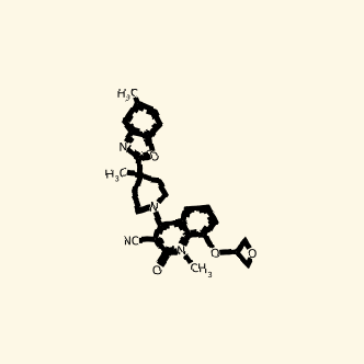 Cc1ccc2oc(C3(C)CCN(c4c(C#N)c(=O)n(C)c5c(OC6COC6)cccc45)CC3)nc2c1